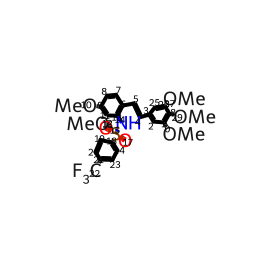 COc1cc(C=Cc2ccc(OC)c(OC)c2NS(=O)(=O)c2ccc(C(F)(F)F)cc2)cc(OC)c1OC